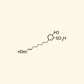 CCCCCCCCCCC=CCCCCCCc1ccc(I=O)c(S(=O)(=O)O)c1